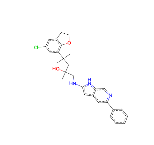 CC(O)(CNc1cc2cc(-c3ccccc3)ncc2[nH]1)CC(C)(C)c1cc(Cl)cc2c1OCC2